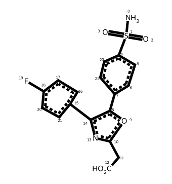 NS(=O)(=O)c1ccc(-c2oc(CC(=O)O)nc2-c2ccc(F)cc2)cc1